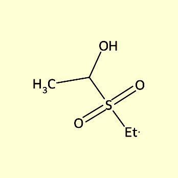 C[CH]S(=O)(=O)C(C)O